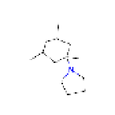 CC1CC(C)CC(C)(N2CCCC2)C1